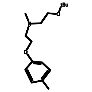 Cc1ccc(OCCN(C)CCOC(C)(C)C)cc1